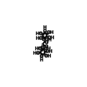 O=C(CC(=O)O[C@]1(O)[C@H](O)[C@H](O)[C@@H](O)[C@H](O)[C@H]1O)O[C@]1(O)[C@H](O)[C@H](O)[C@@H](O)[C@H](O)[C@H]1O